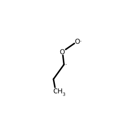 CC[CH]O[O]